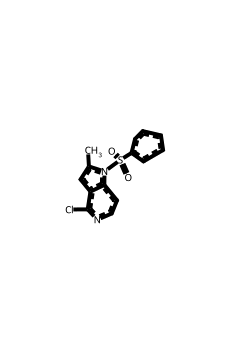 Cc1cc2c(Cl)nccc2n1S(=O)(=O)c1ccccc1